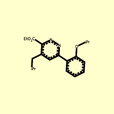 CCOC(=O)c1nnc(-c2ccccc2OC(C)C)cc1CC(C)C